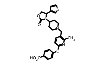 Cc1nc(Oc2ccc(C(=O)O)cc2)ccc1CN1CCC(N2C(=O)OCC2c2ccsc2)CC1